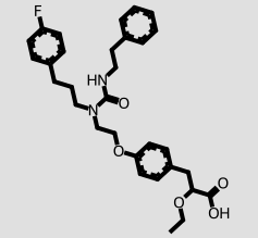 CCOC(Cc1ccc(OCCN(CCCc2ccc(F)cc2)C(=O)NCCc2ccccc2)cc1)C(=O)O